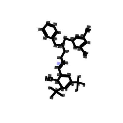 CC(C)(C)C1=CC(C(C)(C)C)C(O)C(/C=N/CCN(Cc2ccccc2)CC2C=C(Br)C=C(Br)C2)=C1